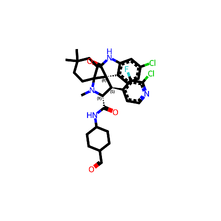 CN1[C@@H](C(=O)NC2CCC(C=O)CC2)[C@H](c2ccnc(Cl)c2F)[C@]2(C(=O)Nc3cc(Cl)ccc32)C12CCC(C)(C)CC2